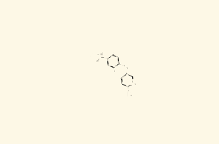 C[Si](C)(C)c1ccc(Nc2ccc(Br)nc2)c(F)c1